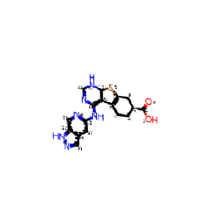 O=C(O)[C@H]1CCC2=C(C1)SC1NC=NC(Nc3cc4cn[nH]c4cn3)=C21